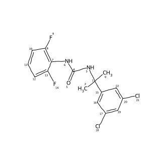 CC(C)(NC(=O)Nc1c(F)cccc1F)c1cc(Cl)cc(Cl)c1